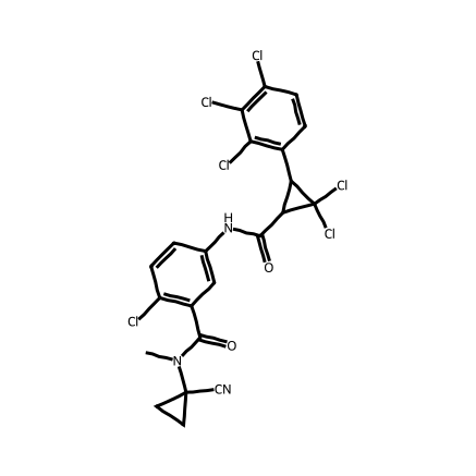 CN(C(=O)c1cc(NC(=O)C2C(c3ccc(Cl)c(Cl)c3Cl)C2(Cl)Cl)ccc1Cl)C1(C#N)CC1